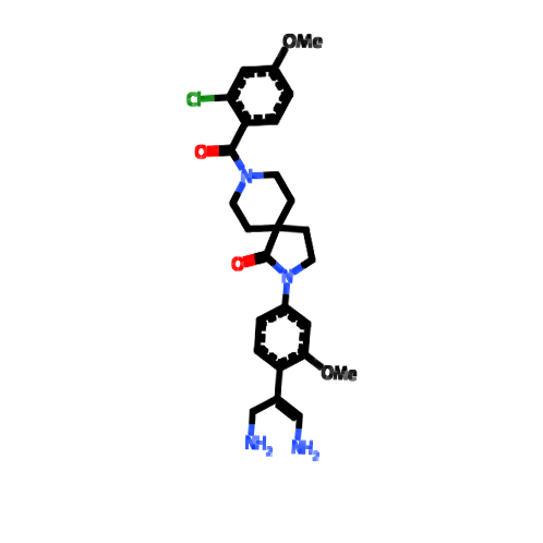 COc1ccc(C(=O)N2CCC3(CC2)CCN(c2ccc(/C(=C/N)CN)c(OC)c2)C3=O)c(Cl)c1